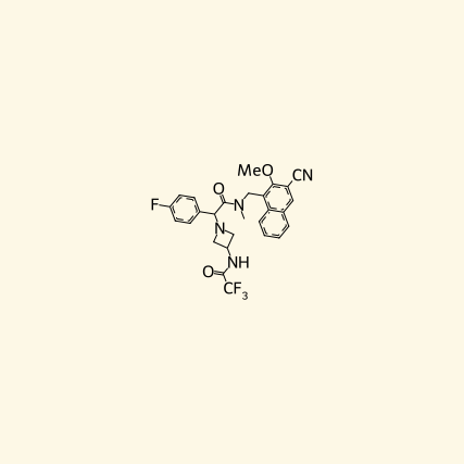 COc1c(C#N)cc2ccccc2c1CN(C)C(=O)C(c1ccc(F)cc1)N1CC(NC(=O)C(F)(F)F)C1